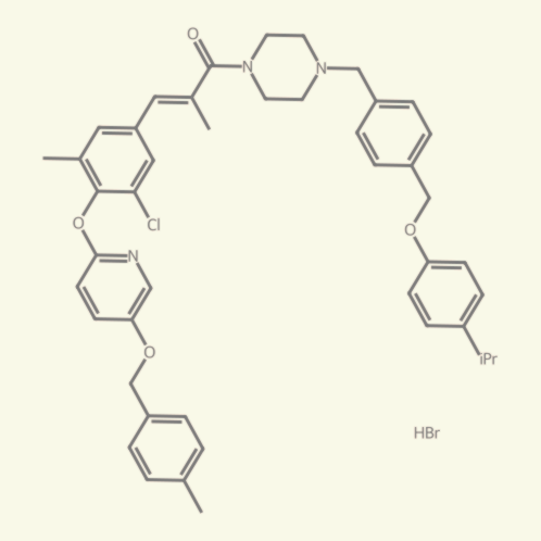 Br.C/C(=C\c1cc(C)c(Oc2ccc(OCc3ccc(C)cc3)cn2)c(Cl)c1)C(=O)N1CCN(Cc2ccc(COc3ccc(C(C)C)cc3)cc2)CC1